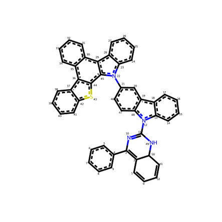 C1=CC2=C(c3ccccc3)N=C(n3c4ccccc4c4cc(-n5c6ccccc6c6c7ccccc7c7c8ccccc8sc7c65)ccc43)NC2C=C1